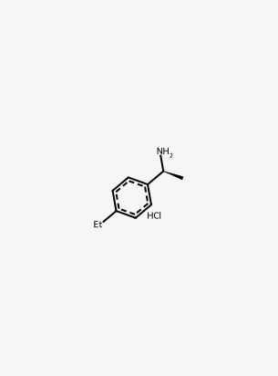 CCc1ccc([C@H](C)N)cc1.Cl